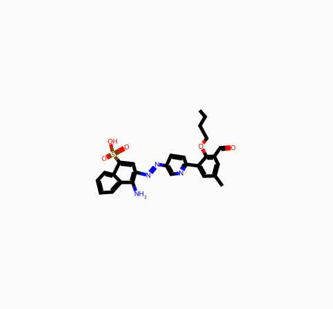 CCCCOc1c(C=O)cc(C)cc1-c1ccc(N=Nc2cc(S(=O)(=O)O)c3ccccc3c2N)cn1